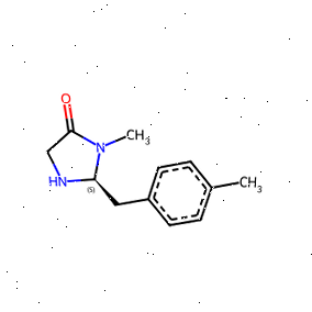 Cc1ccc(C[C@H]2NCC(=O)N2C)cc1